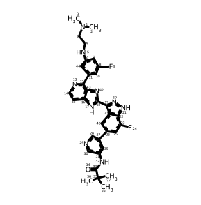 CN(C)CCNc1cc(F)cc(-c2nccc3[nH]c(-c4n[nH]c5c(F)cc(-c6cncc(NC(=O)C(C)(C)C)c6)cc45)nc23)c1